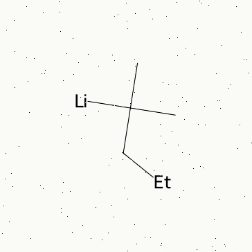 [Li][C](C)(C)CCC